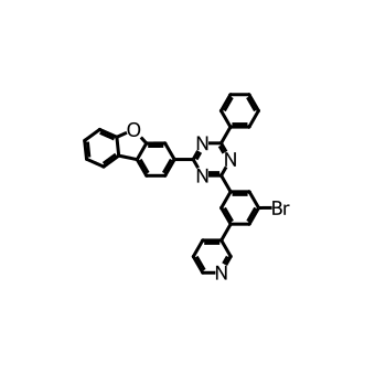 Brc1cc(-c2cccnc2)cc(-c2nc(-c3ccccc3)nc(-c3ccc4c(c3)oc3ccccc34)n2)c1